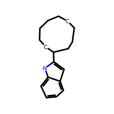 C1=C(C2CCCCCCCCC2)[N]c2ccccc21